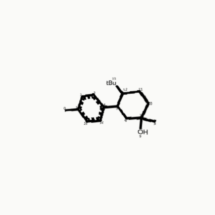 Cc1ccc(C2CC(C)(O)CCC2C(C)(C)C)cc1